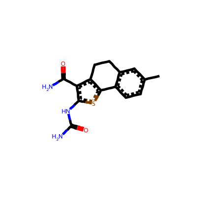 Cc1ccc2c(c1)CCc1c-2sc(NC(N)=O)c1C(N)=O